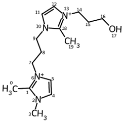 Cc1n(C)cc[n+]1CCCn1cc[n+](CCCO)c1C